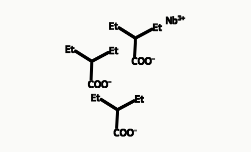 CCC(CC)C(=O)[O-].CCC(CC)C(=O)[O-].CCC(CC)C(=O)[O-].[Nb+3]